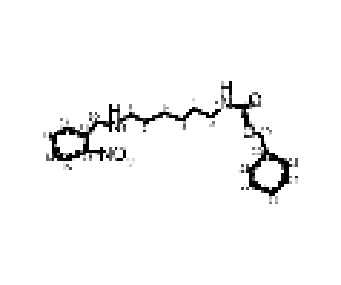 O=C(NCCCCCCNCc1ccccc1[N+](=O)[O-])OCc1ccccc1